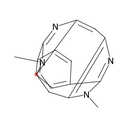 Cn1c2nc3cc4nc(n(C)c4cc31)-c1ccc-2cc1